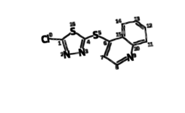 Clc1nnc(Sc2ccnc3ccccc23)s1